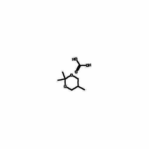 CC1COC(C)(C)OC1.O=C(O)O